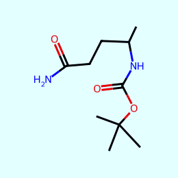 CC(CCC(N)=O)NC(=O)OC(C)(C)C